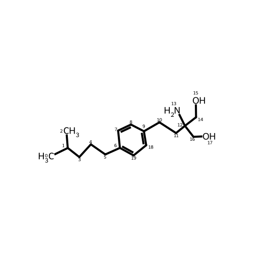 CC(C)CCCc1ccc(CCC(N)(CO)CO)cc1